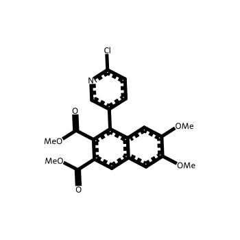 COC(=O)c1cc2cc(OC)c(OC)cc2c(-c2ccc(Cl)nc2)c1C(=O)OC